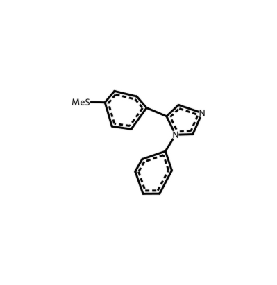 CSc1ccc(-c2cncn2-c2ccccc2)cc1